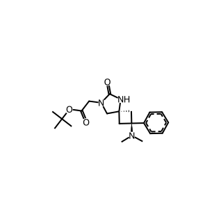 CN(C)[C@]1(c2ccccc2)C[C@@]2(CN(CC(=O)OC(C)(C)C)C(=O)N2)C1